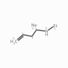 C=CCCNCC.[Na]